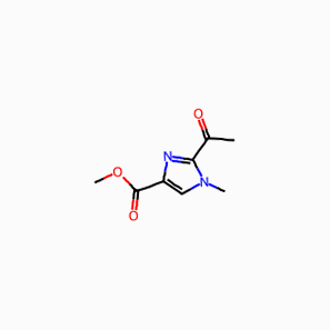 COC(=O)c1cn(C)c(C(C)=O)n1